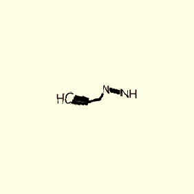 C#CCN=N